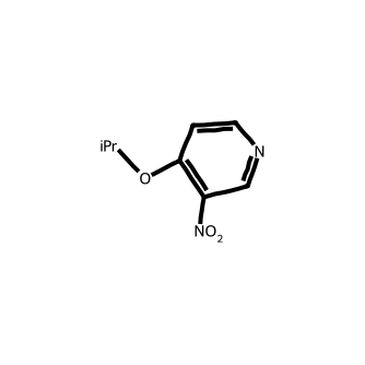 CC(C)Oc1ccncc1[N+](=O)[O-]